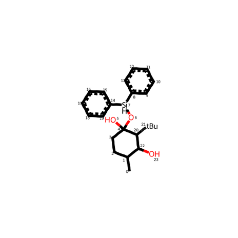 CC1CCC(O)(O[SiH](c2ccccc2)c2ccccc2)C(C(C)(C)C)C1O